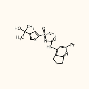 CC(C)c1cc(NC(=O)N=S(N)(=O)c2cc(C(C)(C)O)cs2)c2c(n1)CCC2